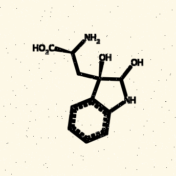 N[C@@H](C[C@@]1(O)c2ccccc2NC1O)C(=O)O